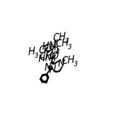 CC(C)NC(=O)C(NC(=O)c1nc(-c2ccccc2)n2c1CN(C)CCC2)C(C)(C)C